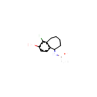 CC(C)(C)[S@+]([O-])NC1CCCCc2c1ccc(O)c2F